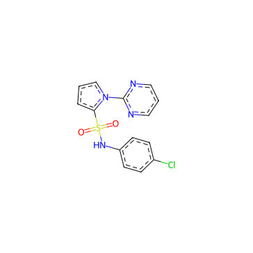 O=S(=O)(Nc1ccc(Cl)cc1)c1cccn1-c1ncccn1